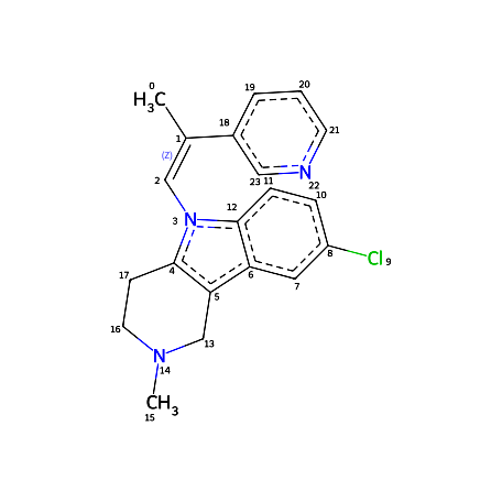 C/C(=C/n1c2c(c3cc(Cl)ccc31)CN(C)CC2)c1cccnc1